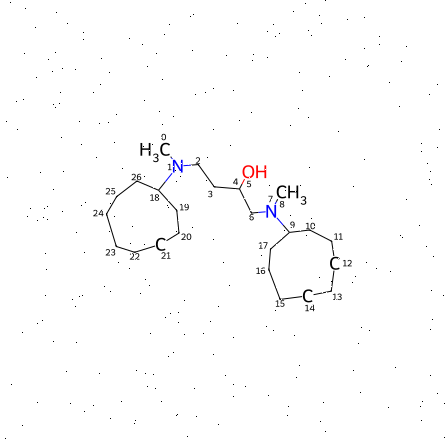 CN(CCC(O)CN(C)C1CCCCCCCC1)C1CCCCCCCC1